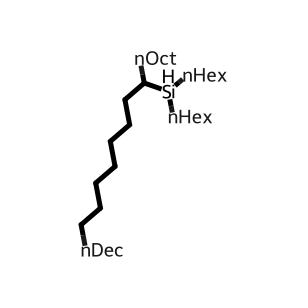 CCCCCCCCCCCCCCCCCC(CCCCCCCC)[SiH](CCCCCC)CCCCCC